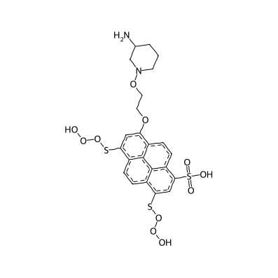 NC1CCCN(OCCOc2cc(SOOO)c3ccc4c(SOOO)cc(S(=O)(=O)O)c5ccc2c3c45)C1